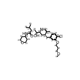 COCCCOc1cc(C[C@@H](C[C@H](N)[C@@H](O)C[C@H](C(=O)NC2CCOCC2)C(C)C)C(C)C)ccc1Cl